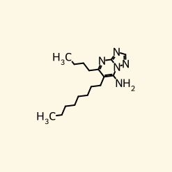 CCCCCCCCc1c(CCCC)nc2ncnn2c1N